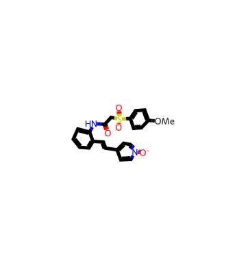 COc1ccc(S(=O)(=O)CC(=O)Nc2ccccc2/C=C/c2cc[n+]([O-])cc2)cc1